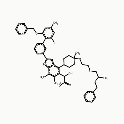 Cc1cc(F)c(-c2cccc(-c3cn4c(N5CCC(C)(OCCOCC(C)OCc6ccccc6)CC5)c(C(O)C(=O)O)c(C)c(C)c4n3)c2)c(OCc2ccccc2)c1